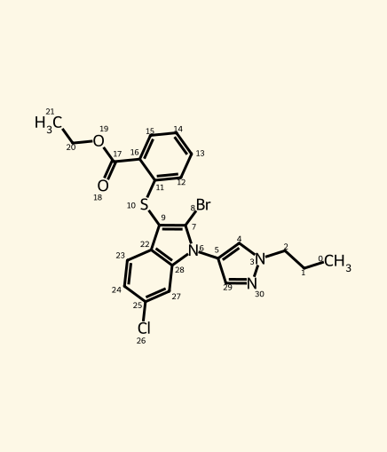 CCCn1cc(-n2c(Br)c(Sc3ccccc3C(=O)OCC)c3ccc(Cl)cc32)cn1